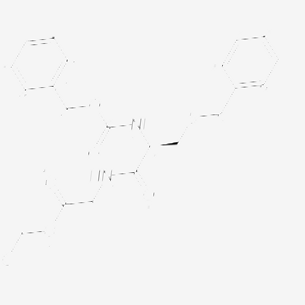 CCOC(=O)CNC(=O)[C@H](CSCc1ccccc1)NC(=O)OCc1ccccc1